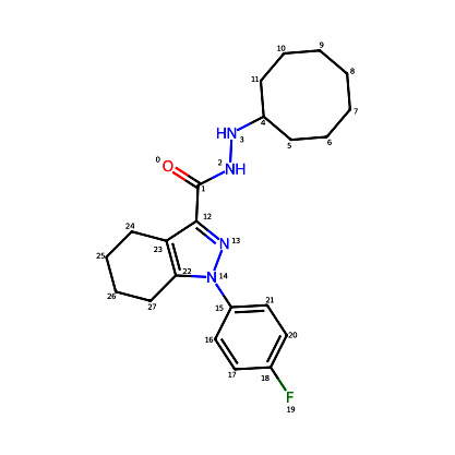 O=C(NNC1CCCCCCC1)c1nn(-c2ccc(F)cc2)c2c1CCCC2